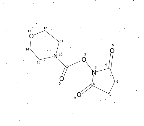 O=C(ON1C(=O)CCC1=O)N1CCOCC1